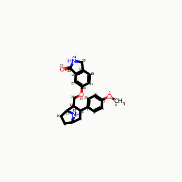 COc1ccc(C2CC3CCC(N3)C2COc2ccc3c(c2)C(=O)NC3)cc1